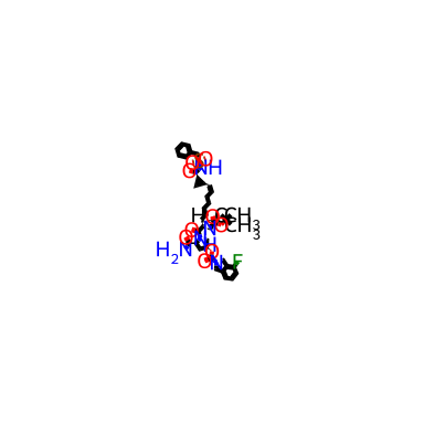 CC(C)(C)OC(=O)N[C@@H](CCCCC/C=C\[C@@H]1C[C@@H]1C(=O)NS(=O)(=O)Cc1ccccc1)C(=O)N1C[C@H](OC(=O)N2Cc3cccc(F)c3C2)C[C@H]1C(N)=O